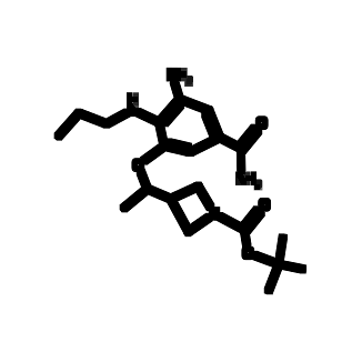 CCCNc1c(N)cc(C(N)=O)cc1OC(C)C1CN(C(=O)OC(C)(C)C)C1